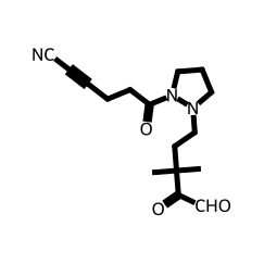 CC(C)(CCN1CCCN1C(=O)CCC#CC#N)C(=O)C=O